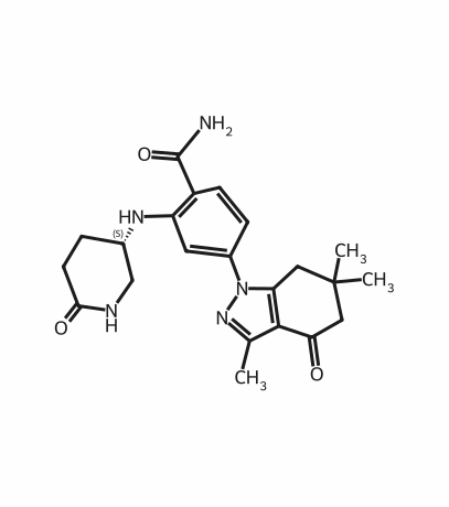 Cc1nn(-c2ccc(C(N)=O)c(N[C@H]3CCC(=O)NC3)c2)c2c1C(=O)CC(C)(C)C2